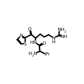 CC(C)C(N)C(=O)NC(CCCNC(=N)N)C(=O)c1nccs1